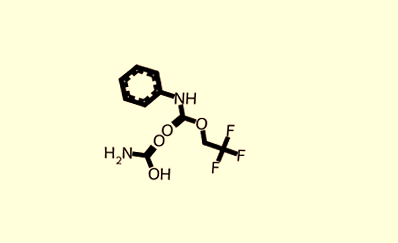 NC(=O)O.O=C(Nc1ccccc1)OCC(F)(F)F